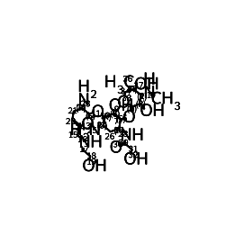 CN[C@@H]1[C@@H](O)[C@@H](O[C@@H]2[C@@H](O)[C@H](O[C@H]3OC(CNCCO)=CC[C@H]3N)[C@@H](N)C[C@H]2NC(=O)CO)OC[C@]1(C)O